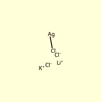 [Cl-].[Cl-].[Cl][Ag].[K+].[Li+]